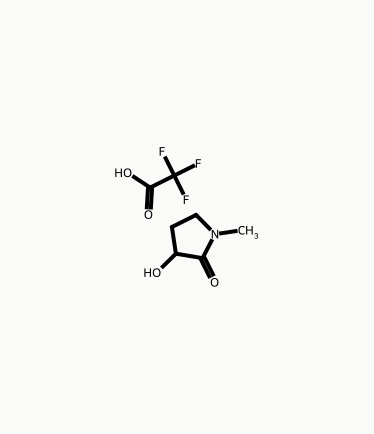 CN1CCC(O)C1=O.O=C(O)C(F)(F)F